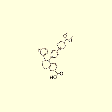 COC(OC)C1CCN(c2ccc(C3=C(c4cccnc4)CCCc4cc(C(=O)O)ccc43)cc2)CC1